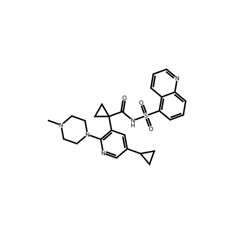 CN1CCN(c2ncc(C3CC3)cc2C2(C(=O)NS(=O)(=O)c3cccc4ncccc34)CC2)CC1